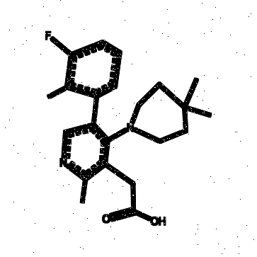 Cc1ncc(-c2cccc(F)c2C)c(N2CCC(C)(C)CC2)c1CC(=O)O